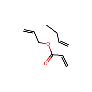 C=CCC.C=CCOC(=O)C=C